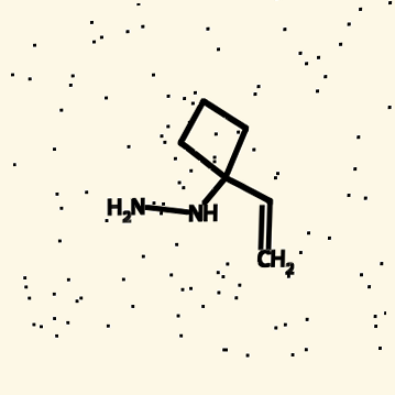 C=CC1(NN)CCC1